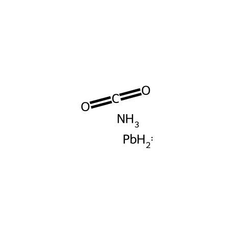 N.O=C=O.[PbH2]